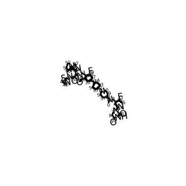 CN(Cc1cc(N2CCC(=O)NC2=O)ncc1F)C1CCN(c2ccc(-c3cc(F)c4c(c3)C(=O)N(C(C(=O)Nc3nccs3)c3ncn5c3CCC5)C4)cc2)CC1